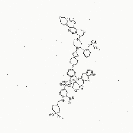 COc1c(N2CCOCC2)ncc2c1COC[C@H]2N1CCN(C2CC3(CCN(c4ccc(C(=O)NS(=O)(=O)c5ccc(NCC6CCC(C)(O)CC6)c([N+](=O)[O-])c5)c(N5c6cc7cc[nH]c7nc6O[C@H]6COCC[C@@H]65)c4)CC3)C2)[C@@H](c2ccccc2OC(C)C)C1